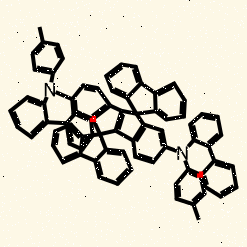 Cc1ccc(N(c2ccc3c(c2)C2(C4=C3C3(c5cc(N(c6ccc(C)cc6)c6ccccc6-c6ccccc6)ccc54)c4ccccc4-c4ccccc43)c3ccccc3-c3ccccc32)c2ccccc2-c2ccccc2)cc1